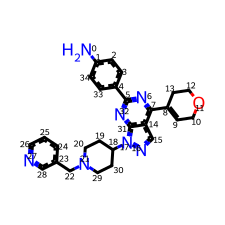 Nc1ccc(-c2nc(C3=CCOCC3)c3cnn(C4CCN(Cc5cccnc5)CC4)c3n2)cc1